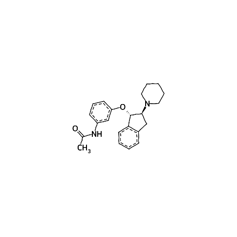 CC(=O)Nc1cccc(O[C@H]2c3ccccc3C[C@@H]2N2CCCCC2)c1